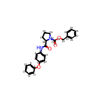 O=C(Nc1ccc(Oc2ccccc2)cc1)C1CCCN1C(=O)OCc1ccccc1